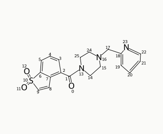 O=C(c1cccc2c1C=CS2(=O)=O)N1CCN(Cc2ccccn2)CC1